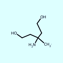 [CH2]C(N)(CCO)CCO